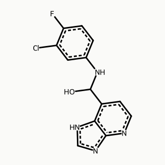 OC(Nc1ccc(F)c(Cl)c1)c1ccnc2nc[nH]c12